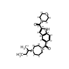 CCC(C)N1CCCN(C(=O)c2ccc3[nH]c(C(=O)N4CCOCC4)cc3c2)CC1